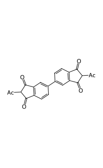 CC(=O)C1C(=O)c2ccc(-c3ccc4c(c3)C(=O)C(C(C)=O)C4=O)cc2C1=O